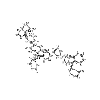 c1ccc(-n2c3ccccc3c3cc(-c4cccc(-c5ccc6c(c5)c5cc(-c7ccc8c(c7)-c7cccc9cccc-8c79)ccc5n6-c5ccccc5)c4)ccc32)cc1